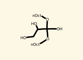 CCCCCCCCOC(O)(OCCCCCCCC)C(O)CO